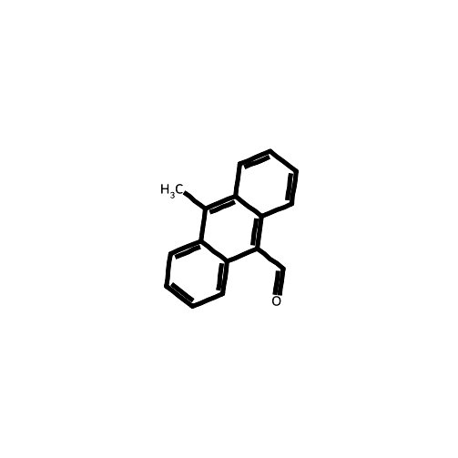 Cc1c2ccccc2c(C=O)c2ccccc12